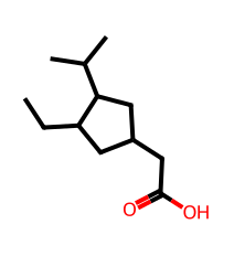 CCC1CC(CC(=O)O)CC1C(C)C